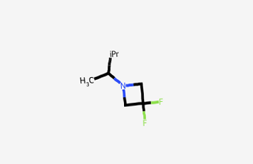 CC(C)C(C)N1CC(F)(F)C1